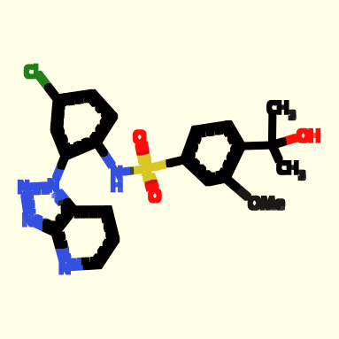 COc1cc(S(=O)(=O)Nc2ccc(Cl)cc2-n2nnc3ncccc32)ccc1C(C)(C)O